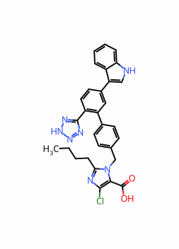 CCCCc1nc(Cl)c(C(=O)O)n1Cc1ccc(-c2cc(-c3c[nH]c4ccccc34)ccc2-c2nn[nH]n2)cc1